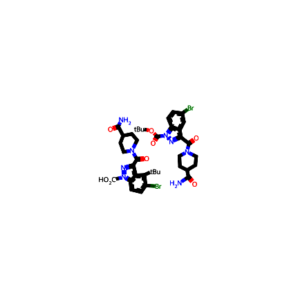 CC(C)(C)OC(=O)n1nc(C(=O)N2CCC(C(N)=O)CC2)c2cc(Br)ccc21.CC(C)(C)c1c(Br)ccc2c1c(C(=O)N1CCC(C(N)=O)CC1)nn2C(=O)O